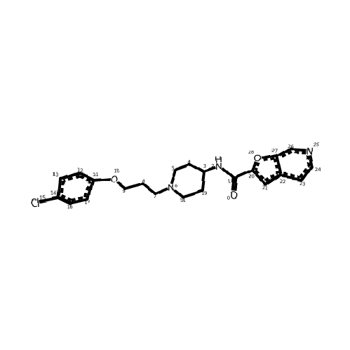 O=C(NC1CCN(CCCOc2ccc(Cl)cc2)CC1)c1cc2ccncc2o1